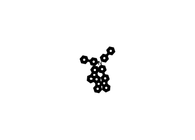 c1ccc(-c2ccc(N(c3ccc(-c4ccccc4)cc3)c3ccc(-c4ccc5c(c4)C4(c6ccccc6-5)c5ccccc5-c5c4cc4c6c(cccc56)-c5ccccc5-4)cc3)cc2)cc1